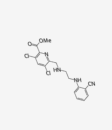 COC(=O)c1nc(CNCCNc2ccccc2C#N)c(Cl)cc1Cl